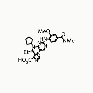 CC[C@@H]1c2c(C(=O)O)ncn2-c2cnc(Nc3ccc(C(=O)NC)cc3OC)nc2N1C1CCCC1